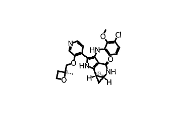 COc1c(Cl)cccc1Nc1c(-c2ccncc2OC[C@]2(C)CCO2)[nH]c2c1C(=O)N[C@@H]1C[C@H]21